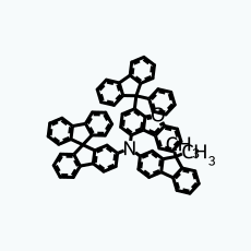 CC1(C)c2ccccc2-c2ccc(N(c3ccc4c(c3)C3(c5ccccc5-c5ccccc53)c3ccccc3-4)c3ccc(C4(c5ccccc5)c5ccccc5-c5ccccc54)c4oc5ccccc5c34)cc21